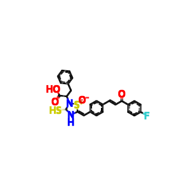 O=C(/C=C/c1ccc(/C=C2/N[C@H](S)N(C(Cc3ccccc3)C(=O)O)[S+]2[O-])cc1)c1ccc(F)cc1